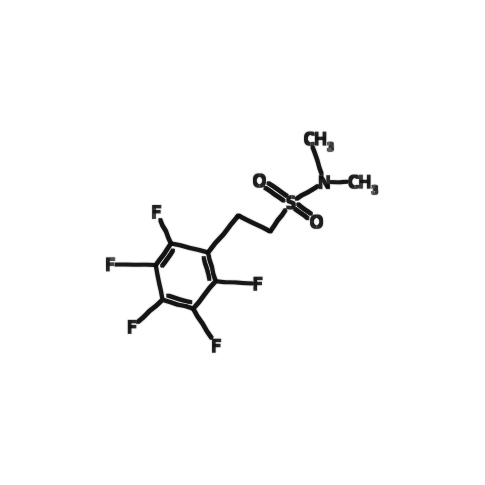 CN(C)S(=O)(=O)CCc1c(F)c(F)c(F)c(F)c1F